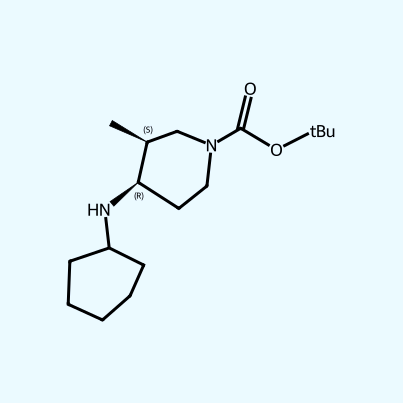 C[C@H]1CN(C(=O)OC(C)(C)C)CC[C@H]1NC1CCCCC1